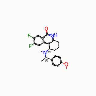 COc1ccc([C@@H](C)N(C)[C@@H]2CCCc3[nH]c(=O)c4cc(F)c(F)cc4c32)cc1